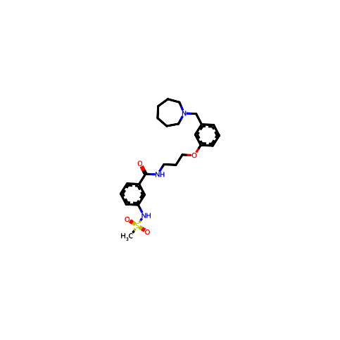 CS(=O)(=O)Nc1cccc(C(=O)NCCCOc2cccc(CN3CCCCCC3)c2)c1